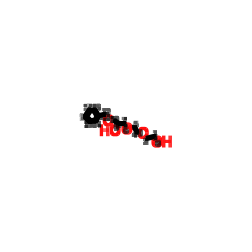 OCCOCCOC[C@@H](O)COCc1ccccc1